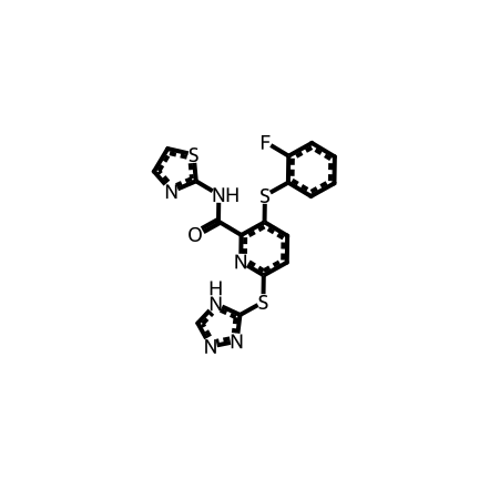 O=C(Nc1nccs1)c1nc(Sc2nnc[nH]2)ccc1Sc1ccccc1F